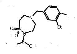 CCc1cc(CN2CCN(B(C)O)S(=O)(=O)CC2)ccc1C